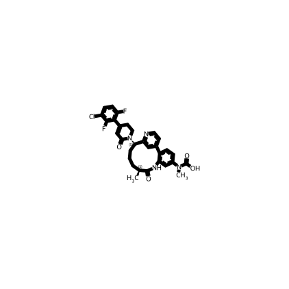 C[C@H]1CCC[C@H](N2CCC(c3c(F)ccc(Cl)c3F)=CC2=O)c2cc(ccn2)-c2ccc(N(C)C(=O)O)cc2NC1=O